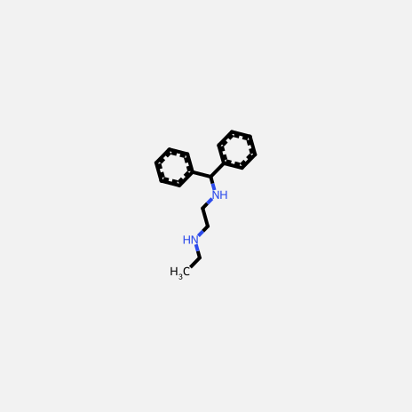 CCNCCNC(c1ccccc1)c1ccccc1